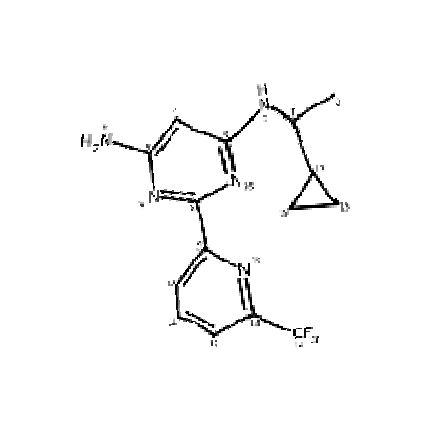 CC(Nc1cc(N)nc(-c2cccc(C(F)(F)F)n2)n1)C1CC1